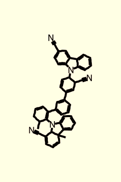 CC1CC=CC(c2cccc(C3=CC(C#N)C(n4c5ccccc5c5cc(C#N)ccc54)C=C3)c2)=C1N1c2ccccc2C2(C)C=CC=C(C#N)C12